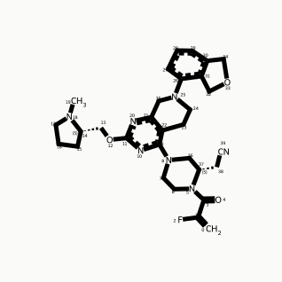 C=C(F)C(=O)N1CCN(c2nc(OC[C@@H]3CCCN3C)nc3c2CCN(c2cccc4c2COC4)C3)C[C@@H]1CC#N